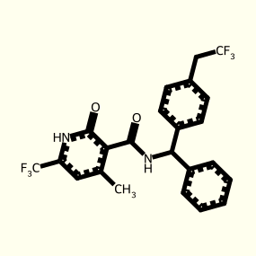 Cc1cc(C(F)(F)F)[nH]c(=O)c1C(=O)NC(c1ccccc1)c1ccc(CC(F)(F)F)cc1